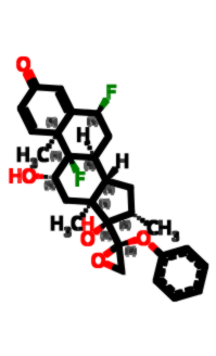 C[C@H]1C[C@H]2[C@@H]3C[C@H](F)C4=CC(=O)C=C[C@]4(C)[C@@]3(F)[C@@H](O)C[C@]2(C)[C@@]1(O)[C@]1(Oc2ccccc2)CO1